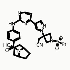 CCS(=O)(=O)N1CC(CC#N)(n2cc(-c3ccnc(Nc4ccc(C(=O)N5C6CCC5CC(O)C6)cc4)n3)cn2)C1